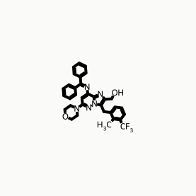 Cc1c(Cc2c(CO)nc3c(N=C(c4ccccc4)c4ccccc4)cc(N4CCOCC4)nn23)cccc1C(F)(F)F